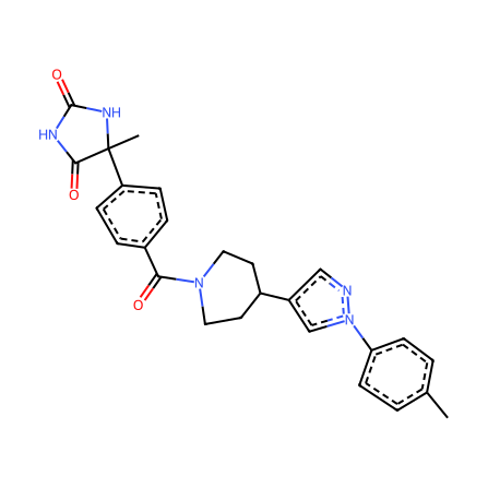 Cc1ccc(-n2cc(C3CCN(C(=O)c4ccc(C5(C)NC(=O)NC5=O)cc4)CC3)cn2)cc1